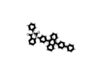 O=c1c2ccccc2n(-c2ccc(-c3c4ccccc4c(-c4ccc(-c5ccccc5)cc4)c4ccccc34)cc2)c(=O)n1-c1ccccc1